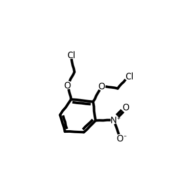 O=[N+]([O-])c1cccc(OCCl)c1OCCl